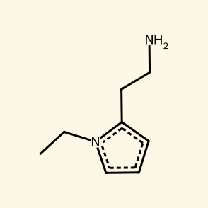 CCn1cccc1CCN